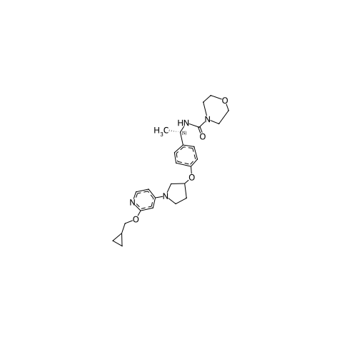 C[C@H](NC(=O)N1CCOCC1)c1ccc(OC2CCN(c3ccnc(OCC4CC4)c3)C2)cc1